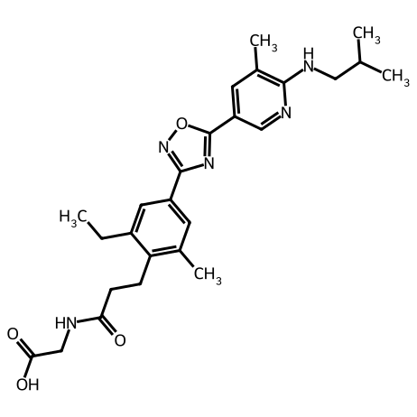 CCc1cc(-c2noc(-c3cnc(NCC(C)C)c(C)c3)n2)cc(C)c1CCC(=O)NCC(=O)O